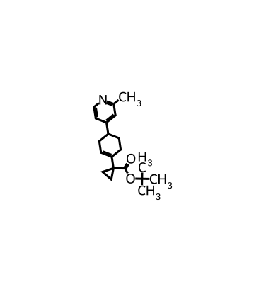 Cc1cc(C2CC=C(C3(C(=O)OC(C)(C)C)CC3)CC2)ccn1